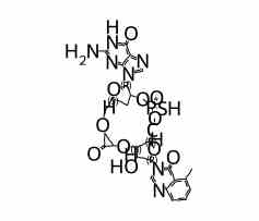 Cc1cccc2ncn([C@@H]3O[C@@H]4COP(=O)(S)OC5C[C@@H](COC6C(=O)C6O[C@H]4C3O)O[C@H]5n3cnc4c(=O)[nH]c(N)nc43)c(=O)c12